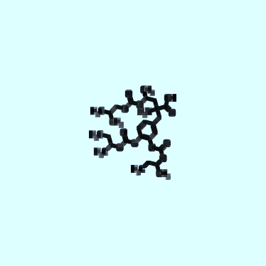 CCC(C)OC(=O)Oc1ccc(CC(N)(C[C@H](C)OC(=O)OCC(C)C)C(=O)O)cc1OC(=O)OC(C)CC